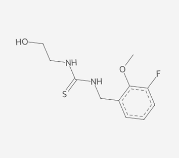 COc1c(F)cccc1CNC(=S)NCCO